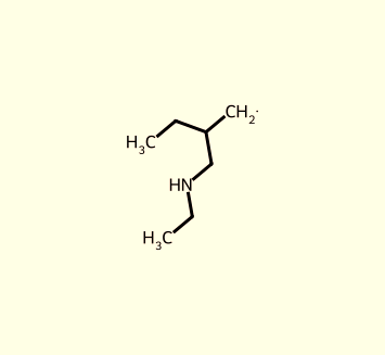 [CH2]C(CC)CNCC